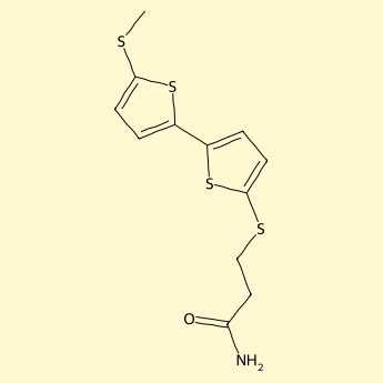 CSc1ccc(-c2ccc(SCCC(N)=O)s2)s1